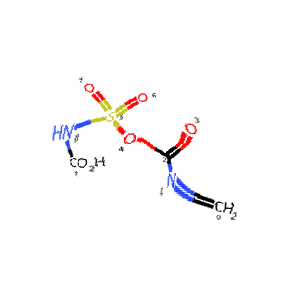 C=NC(=O)OS(=O)(=O)NC(=O)O